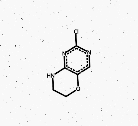 Clc1ncc2c(n1)NCCO2